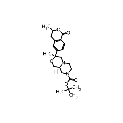 C[C@@H]1Cc2cc([C@]3(C)CN4CCN(C(=O)OC(C)(C)C)C[C@H]4CO3)ccc2C(=O)O1